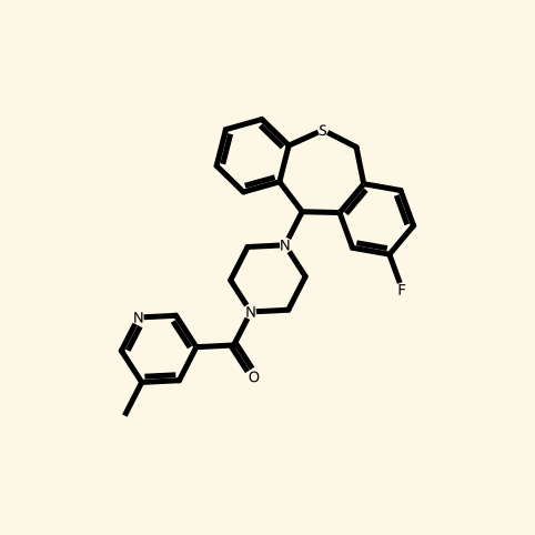 Cc1cncc(C(=O)N2CCN(C3c4cc(F)ccc4CSc4ccccc43)CC2)c1